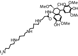 COC[C@@H]1[C@H](NC(=O)CCNCCCCNCCCCNCCCCN)c2cc(O)c(OC)cc2C(c2cc(OC)c(O)c(OC)c2)[C@H]1C=O